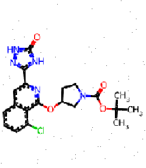 CC(C)(C)OC(=O)N1CCC(Oc2nc(-c3n[nH]c(=O)[nH]3)cc3cccc(Cl)c23)C1